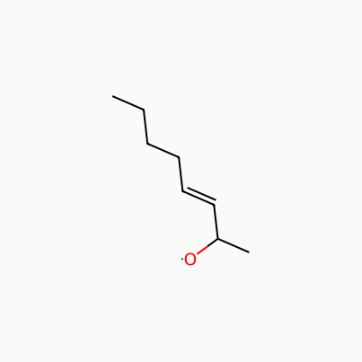 CCCCC=CC(C)[O]